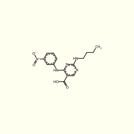 CCCCNc1ncc(C(=O)O)c(Nc2cccc([N+](=O)[O-])c2)n1